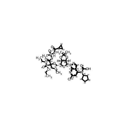 CCOP(=O)(OCC)C(COC)(OC[C@H]1O[C@@H](n2ncc3c(N(C(=O)O)C4CCCC4)cc(Cl)nc32)[C@@H]2OC(C)(C)O[C@@H]21)C(=O)N=S(C)(=O)NC(=O)C1CC1